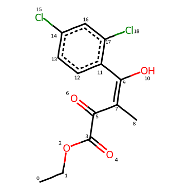 CCOC(=O)C(=O)C(C)=C(O)c1ccc(Cl)cc1Cl